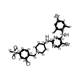 Cc1cc(Br)cc(C)c1Nc1nc(NC2CCN(Cc3ccc(S(C)(=O)=O)cc3Cl)CC2)ncc1Br